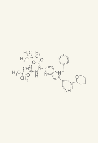 CC(C)(C)OC(=O)NN(C(=O)OC(C)(C)C)c1ccc2c(cc(/C(C=N)=C/NC3CCCCO3)n2Cc2ccccc2)n1